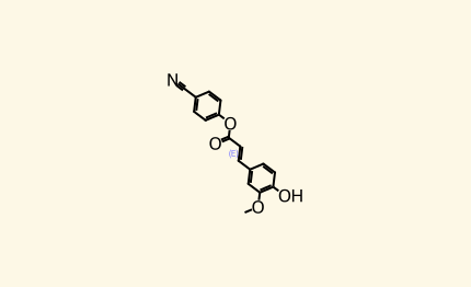 COc1cc(/C=C/C(=O)Oc2ccc(C#N)cc2)ccc1O